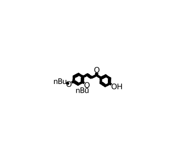 CCCCOc1ccc(C=CC(=O)c2ccc(O)cc2)c(OCCCC)c1